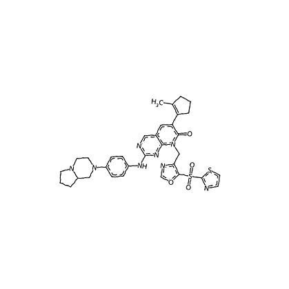 CC1=C(c2cc3cnc(Nc4ccc(N5CCN6CCCC6C5)cc4)nc3n(Cc3ncoc3S(=O)(=O)c3nccs3)c2=O)CCC1